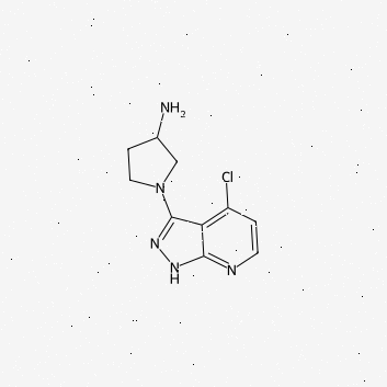 NC1CCN(c2n[nH]c3nccc(Cl)c23)C1